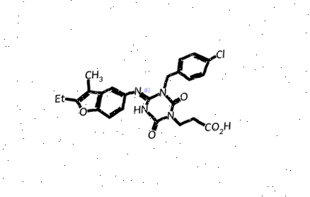 CCc1oc2ccc(/N=c3\[nH]c(=O)n(CCC(=O)O)c(=O)n3Cc3ccc(Cl)cc3)cc2c1C